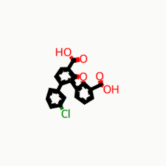 O=C(O)c1cccc2c1oc1c(C(=O)O)ccc(-c3cccc(Cl)c3)c12